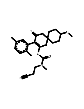 COC1CCC2(CC1)CC(=O)C(c1cc(C)ccc1C)=C(OC(=O)N(C)CCC#N)C2